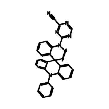 N#Cc1ncnc(N2c3ccccc3C3(c4ccccc4N(c4ccccc4)c4ccccc43)c3ccccc32)n1